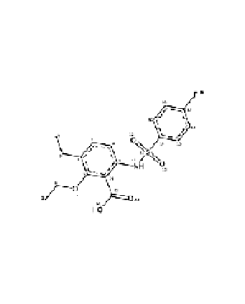 CCOc1c(CC)ccc(NS(=O)(=O)c2ccc(F)cc2)c1C(=O)O